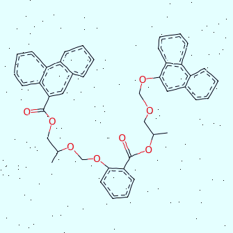 CC(COC(=O)c1cc2ccccc2c2ccccc12)OCOc1ccccc1C(=O)OC(C)COCOc1cc2ccccc2c2ccccc12